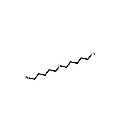 CC(C)CCCC[CH2][Al][CH2]CCCCC(C)C